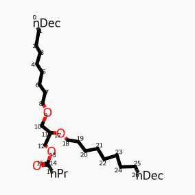 CCCCCCCCCCCCCCCCCCOCC(COC(=O)CCC)OCCCCCCCCCCCCCCCCCC